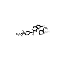 C[C@H]1[C@@H](O)CCC[C@@H]1n1c(=O)ccc2cnc(NC3CCN(S(C)(=O)=O)CC3)nc21